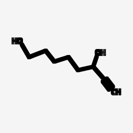 C#CC(O)CCCCCO